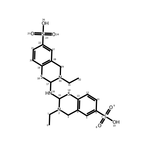 CCN1Cc2cc(S(=O)(=O)O)ccc2SC1NC1Sc2ccc(S(=O)(=O)O)cc2CN1CC